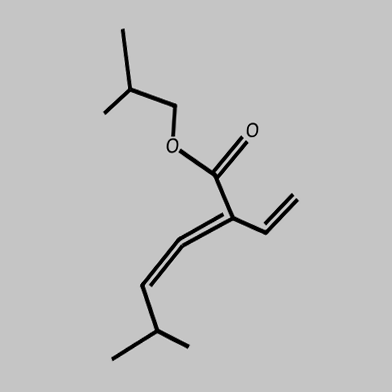 C=CC(=C=CC(C)C)C(=O)OCC(C)C